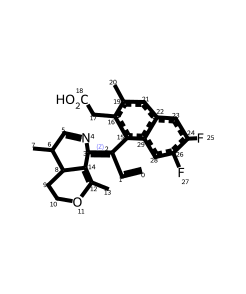 C=C/C(=C1/N=CC(C)C2CCOC(C)=C12)c1c(CC(=O)O)c(C)cc2cc(F)c(F)cc12